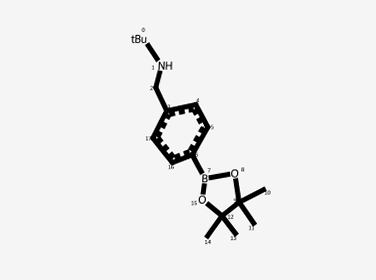 CC(C)(C)NCc1ccc(B2OC(C)(C)C(C)(C)O2)cc1